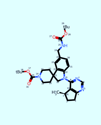 C[C@@H]1CCc2ncnc(N3CC4(CCN(C(=O)OC(C)(C)C)CC4)c4cc(CNC(=O)OC(C)(C)C)ccc43)c21